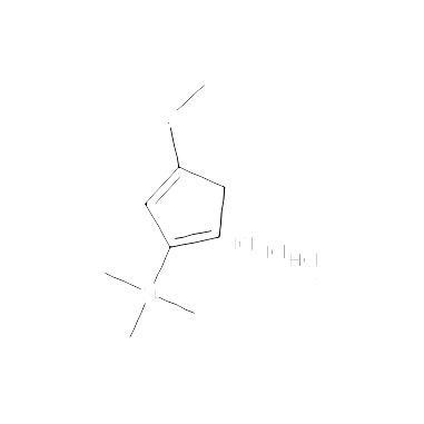 Cl.Cl.Cl.[CH3][V][C]1=CC([Si](C)(C)C)=CC1